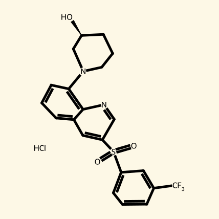 Cl.O=S(=O)(c1cccc(C(F)(F)F)c1)c1cnc2c(N3CCC[C@H](O)C3)cccc2c1